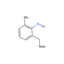 C=Nc1c(CNC)cccc1C(C)(C)C